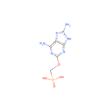 Nc1nc2c(N)nc(OCP(=O)(O)O)nc2[nH]1